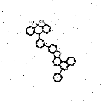 CC1(C)c2ccccc2N(c2cccc(-c3ccc4sc5c(ccc6c(-c7ccccc7)nc7ccccc7c65)c4c3)c2)c2ccccc21